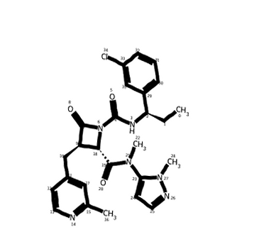 CC[C@@H](NC(=O)N1C(=O)[C@H](Cc2ccnc(C)c2)[C@H]1C(=O)N(C)c1ccnn1C)c1cccc(Cl)c1